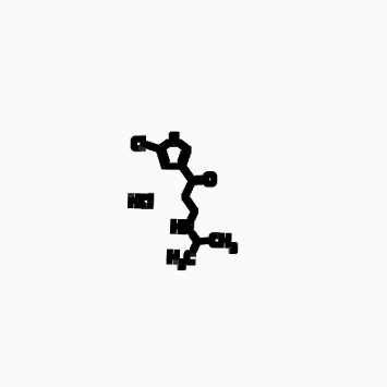 CC(C)NCCC(=O)c1csc(Cl)c1.Cl